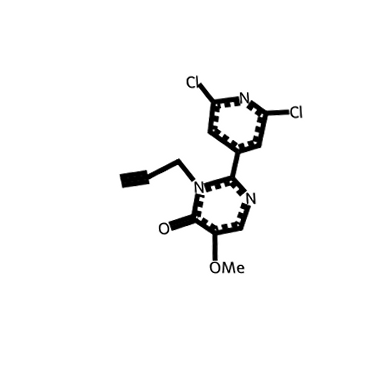 C#CCn1c(-c2cc(Cl)nc(Cl)c2)ncc(OC)c1=O